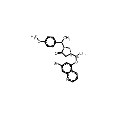 COc1ccc(C(C)N2C[C@H]([C@@H](C)Oc3cc(Br)cc4ncccc34)CC2=O)cc1